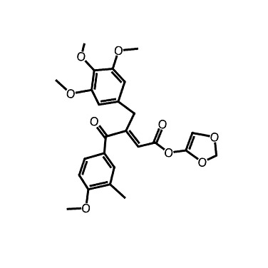 COc1ccc(C(=O)C(=CC(=O)OC2=COCO2)Cc2cc(OC)c(OC)c(OC)c2)cc1C